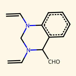 C=CN1CN(C=C)C(C=O)c2ccccc21